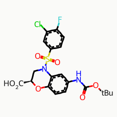 CC(C)(C)OC(=O)Nc1ccc2c(c1)N(S(=O)(=O)c1ccc(F)c(Cl)c1)C[C@H](C(=O)O)O2